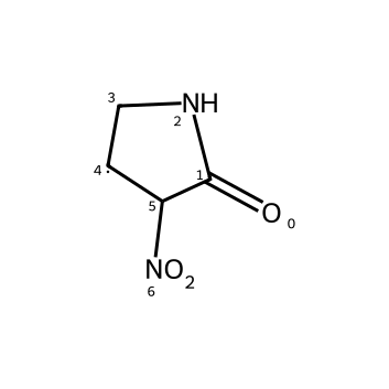 O=C1NC[CH]C1[N+](=O)[O-]